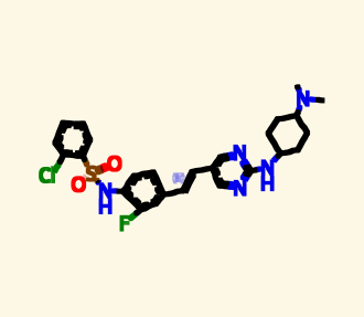 CN(C)C1CCC(Nc2ncc(/C=C/c3ccc(NS(=O)(=O)c4ccccc4Cl)c(F)c3)cn2)CC1